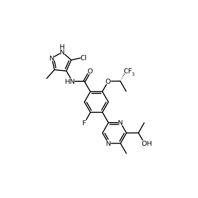 Cc1ncc(-c2cc(O[C@@H](C)C(F)(F)F)c(C(=O)Nc3c(C)n[nH]c3Cl)cc2F)nc1C(C)O